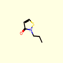 CCCn1sccc1=O